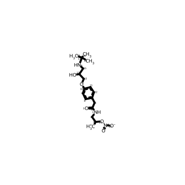 CC(CNC(=O)Cc1ccc(OCC(O)CNC(C)(C)C)cc1)O[N+](=O)[O-]